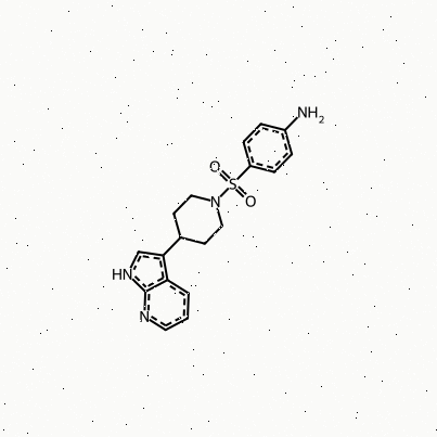 Nc1ccc(S(=O)(=O)N2CCC(c3c[nH]c4ncccc34)CC2)cc1